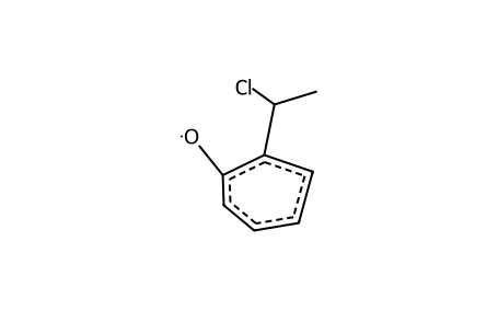 CC(Cl)c1ccccc1[O]